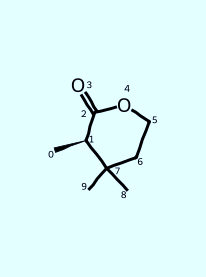 C[C@H]1C(=O)OCCC1(C)C